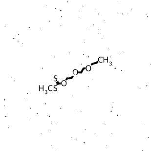 CCCOCCOCCOC(=S)SC